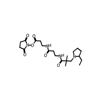 CCC1CCCN1CC(C)(C)C(=O)NCCC(=O)NCCC(=O)ON1C(=O)CCC1=O